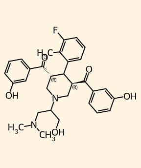 Cc1c(F)cccc1C1[C@@H](C(=O)c2cccc(O)c2)CN(C(CO)CN(C)C)C[C@@H]1C(=O)c1cccc(O)c1